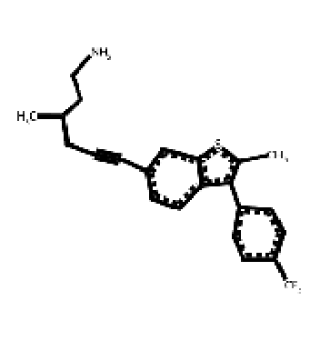 Cc1sc2cc(C#CCC(C)CCN)ccc2c1-c1ccc(C(F)(F)F)cc1